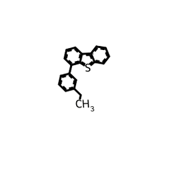 CCc1cccc(-c2cccc3c2sc2ccccc23)c1